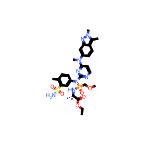 CCOC(=O)[C@H](C)NP(=O)(COC)N(c1ccc(C)c(S(N)(=O)=O)c1)c1nccc(N(C)c2ccc3c(C)n(C)nc3c2)n1